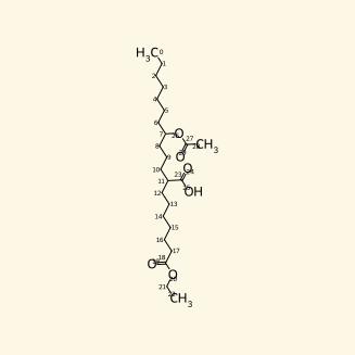 CCCCCCCC(CCCC(CCCCCCC(=O)OCC)C(=O)O)OC(C)=O